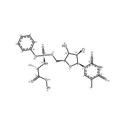 Cc1cn([C@H]2O[C@@H](CO[P@](=O)(N[C@@H](C)C(=O)OC(C)C)Oc3ccccc3)C(O)[C@H]2Cl)c(=S)[nH]c1=S